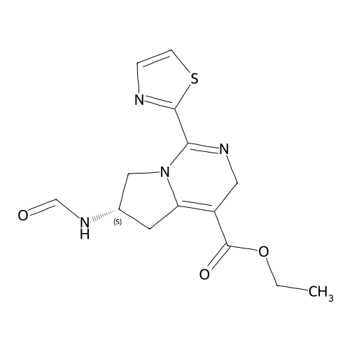 CCOC(=O)C1=C2C[C@H](NC=O)CN2C(c2nccs2)=NC1